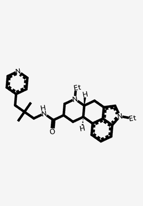 CCN1CC(C(=O)NCC(C)(C)Cc2ccncc2)C[C@@H]2c3cccc4c3c(cn4CC)C[C@H]21